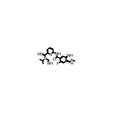 CN/C=C1/C=C(F)C(C(=O)Nc2cccc(C(=N)N(C=N)C(C)C)n2)=CC1=N